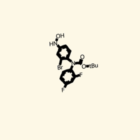 CC(C)(C)OC(=O)N(c1ccc(F)cc1F)c1ccc(NO)cc1Br